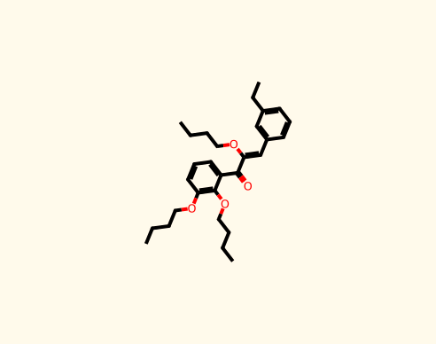 CCCCOC(=Cc1cccc(CC)c1)C(=O)c1cccc(OCCCC)c1OCCCC